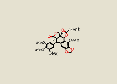 CCCCCC(=O)O[C@H]1c2c(cc3c(c2OC)OCO3)[C@@H](c2cc(OC)c(OC)c(OC)c2)[C@H]2C(=O)OC[C@@H]21